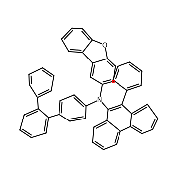 c1ccc(-c2ccccc2-c2ccc(N(c3ccc4oc5ccccc5c4c3)c3c(-c4ccccc4)c4ccccc4c4ccccc34)cc2)cc1